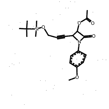 COc1ccc(N2C(=O)C(OC(C)=O)C2C#CCO[Si](C)(C)C(C)(C)C)cc1